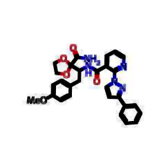 COc1ccc(CC(NC(=O)c2cccnc2-n2ccc(-c3ccccc3)n2)C2(C(N)=O)OCCO2)cc1